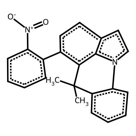 CC1(C)c2ccccc2-n2ccc3ccc(-c4ccccc4[N+](=O)[O-])c1c32